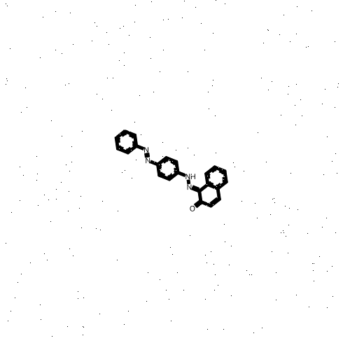 O=C1C=Cc2ccccc2/C1=N\Nc1ccc(/N=N/c2ccccc2)cc1